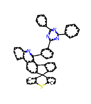 c1ccc(-c2nc(-c3ccccc3)nc(-c3cccc(-c4nc5ccccc5c5ccc6c(c45)-c4ccccc4C64c5ccccc5Sc5ccccc54)c3)n2)cc1